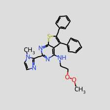 COOCCNc1nc(-c2nccn2C)nc2sc(-c3ccccc3)c(-c3ccccc3)c12